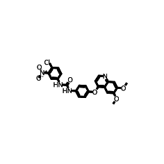 COc1cc2nccc(Oc3ccc(NC(=O)Nc4ccc(Cl)c([N+](=O)[O-])c4)cc3)c2cc1OC